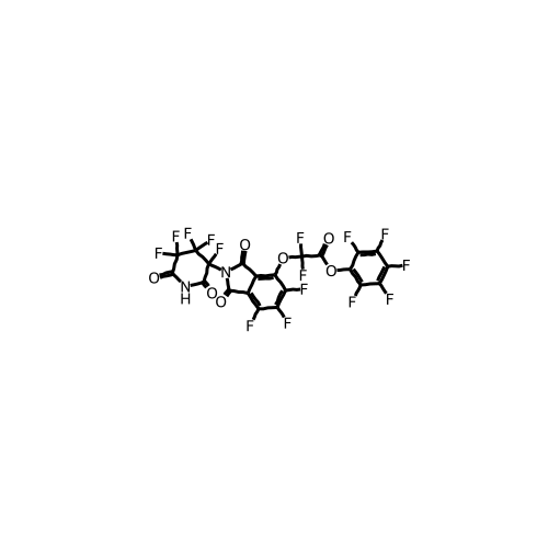 O=C1c2c(F)c(F)c(F)c(OC(F)(F)C(=O)Oc3c(F)c(F)c(F)c(F)c3F)c2C(=O)N1C1(F)C(=O)NC(=O)C(F)(F)C1(F)F